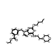 CCCCOc1nc(NCCN2CCOCC2)c2ncn(Cc3cccc(C(=O)OCC)c3)c2n1